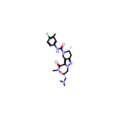 Cc1cc(NC(=O)N2Cc3c(nn4c3C(=O)N(C)O[C@@H](CN(C)C)C4)C[C@H]2C)ccc1F